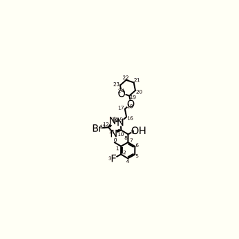 Cc1c(F)cccc1C(O)c1nc(Br)nn1CCOC1CCCCO1